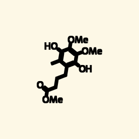 COC(=O)CCCc1c(C)c(O)c(OC)c(OC)c1O